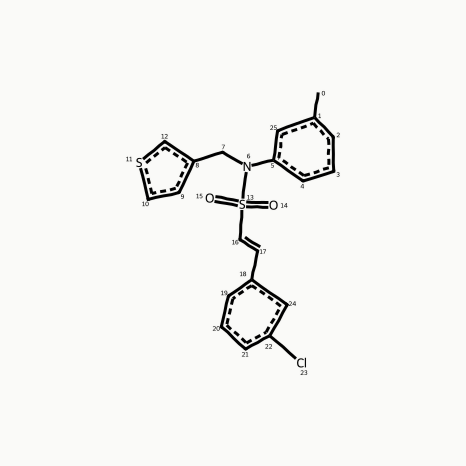 Cc1cccc(N(Cc2ccsc2)S(=O)(=O)/C=C/c2cccc(Cl)c2)c1